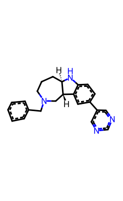 c1ccc(CN2CCC[C@H]3Nc4ccc(-c5cncnc5)cc4[C@@H]3C2)cc1